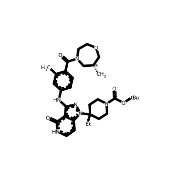 CCC1(n2nc(Nc3ccc(C(=O)N4CCOC[C@H](C)C4)c(C)c3)c3c(=O)[nH]ccc32)CCN(C(=O)OC(C)(C)C)CC1